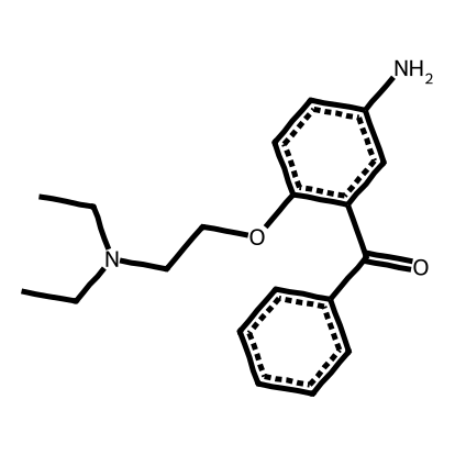 CCN(CC)CCOc1ccc(N)cc1C(=O)c1ccccc1